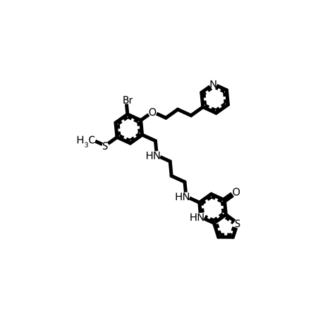 CSc1cc(Br)c(OCCCc2cccnc2)c(CNCCCNc2cc(=O)c3sccc3[nH]2)c1